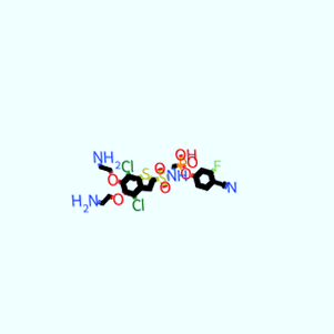 N#Cc1ccc(OP(=O)(O)CNS(=O)(=O)c2cc3c(Cl)c(OCCN)c(OCCN)c(Cl)c3s2)cc1F